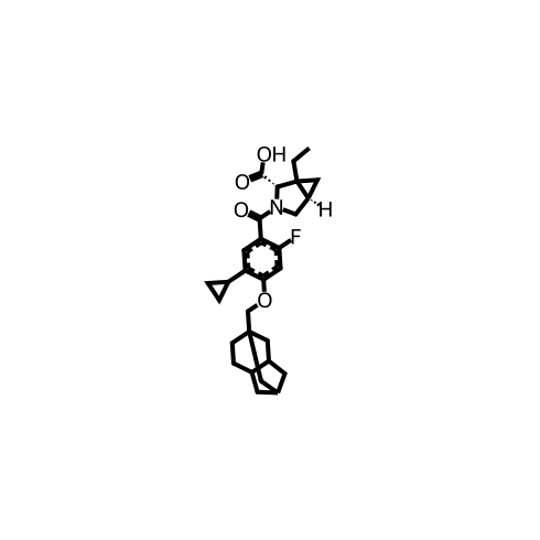 CCC12C[C@H]1CN(C(=O)c1cc(C3CC3)c(OCC34CCC5CC(CC5C3)C4)cc1F)[C@@H]2C(=O)O